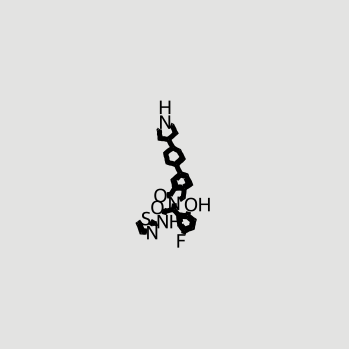 O=C(Nc1nccs1)C(c1cc(F)ccc1O)N1Cc2ccc(C3=CCC(C4CCNCC4)CC3)cc2C1=O